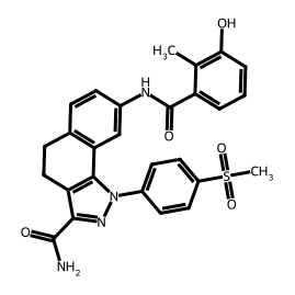 Cc1c(O)cccc1C(=O)Nc1ccc2c(c1)-c1c(c(C(N)=O)nn1-c1ccc(S(C)(=O)=O)cc1)CC2